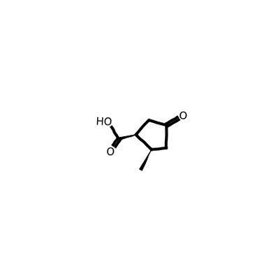 C[C@@H]1CC(=O)C[C@@H]1C(=O)O